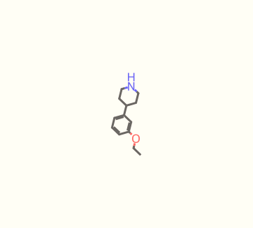 CCOc1cccc(C2CCNCC2)c1